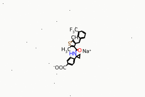 Cc1sc(C)c(C(=O)NC2(c3ccc(C(=O)[O-])cc3)CC2)c1Cc1cccc(C(F)(F)F)c1.[Na+]